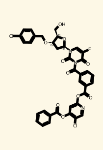 O=C(Oc1cc(OC(=O)c2ccccc2)c(Cl)cn1)c1cccc(C(=O)n2c(=O)c(F)cn([C@H]3C[C@H](OCc4ccc(Cl)cc4)[C@@H](CO)O3)c2=O)c1